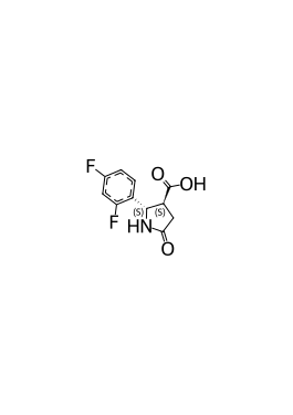 O=C1C[C@H](C(=O)O)[C@@H](c2ccc(F)cc2F)N1